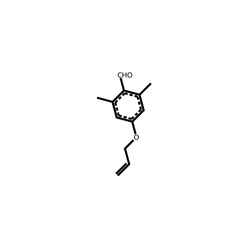 C=CCOc1cc(C)c(C=O)c(C)c1